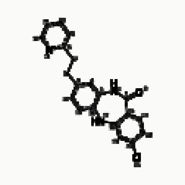 O=C1Nc2cc(CCc3ccccn3)ccc2Nc2cc(Cl)ccc21